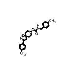 Cc1ccc(CNC(=O)ON2CCC3(CC2)CC(c2ccc(C(F)(F)F)cc2)=NO3)cc1